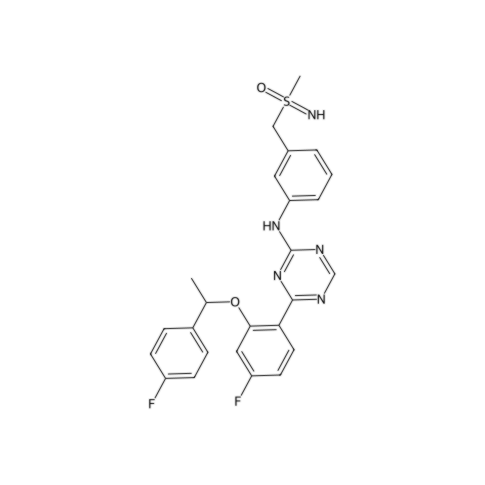 CC(Oc1cc(F)ccc1-c1ncnc(Nc2cccc(CS(C)(=N)=O)c2)n1)c1ccc(F)cc1